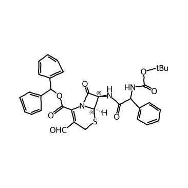 CC(C)(C)OC(=O)NC(C(=O)N[C@@H]1C(=O)N2C(C(=O)OC(c3ccccc3)c3ccccc3)=C(C=O)CS[C@H]12)c1ccccc1